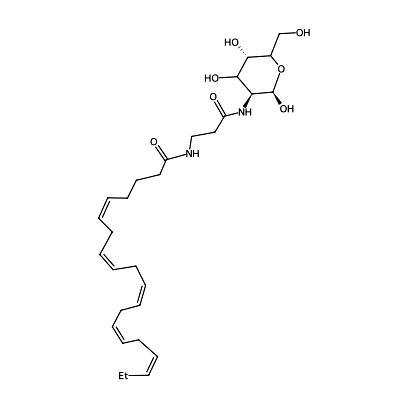 CC/C=C\C/C=C\C/C=C\C/C=C\C/C=C\CCCC(=O)NCCC(=O)N[C@H]1C(O)[C@H](O)C(CO)O[C@H]1O